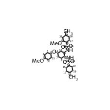 COc1ccc(Oc2ccc(NS(=O)(=O)c3ccc(C)cc3)c(NS(=O)(=O)c3ccc(C)cc3OC)c2)cc1